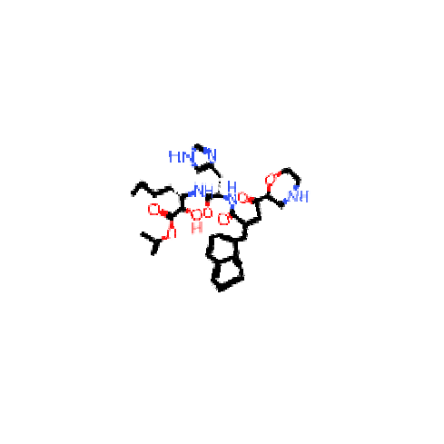 CCCC[C@H](NC(=O)[C@H](Cc1c[nH]cn1)NC(=O)C(CC(=O)C1CNCCO1)Cc1cccc2ccccc12)C(O)C(=O)OC(C)C